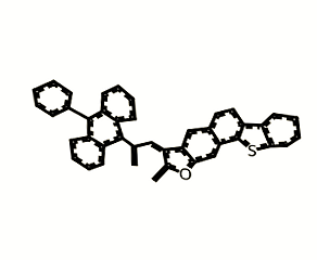 C=C(/C=c1\c(=C)oc2cc3c(ccc4c5ccccc5sc34)cc12)c1c2ccccc2c(-c2ccccc2)c2ccccc12